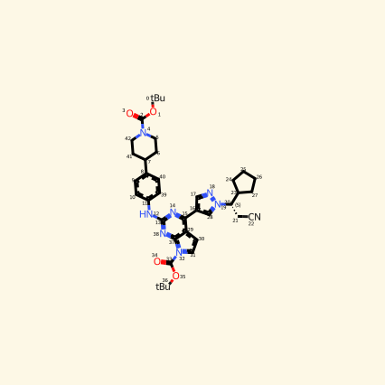 CC(C)(C)OC(=O)N1CCC(c2ccc(Nc3nc(-c4cnn([C@@H](CC#N)C5CCCC5)c4)c4ccn(C(=O)OC(C)(C)C)c4n3)cc2)CC1